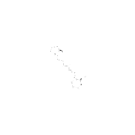 O=C1CCCN1CCCCOCN1CCCCC1=O